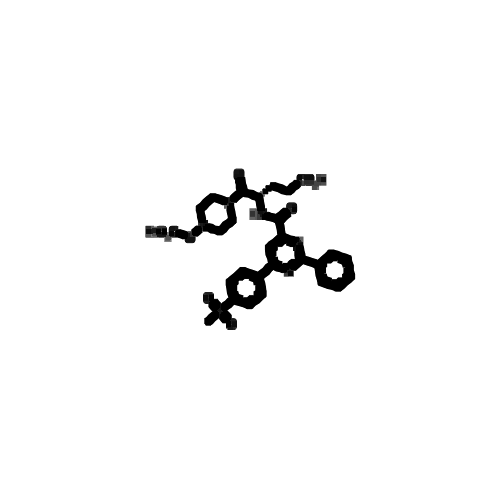 CCOC(=O)ON1CCN(C(=O)[C@H](CCC(=O)O)NC(=O)c2cc(-c3ccc(S(C)(=O)=O)cc3)nc(-c3ccccc3)n2)CC1